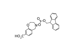 O=C(OCC1c2ccccc2-c2ccccc21)ON1CCOc2cc(C(=O)O)ccc2C1